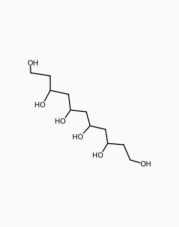 OCCC(O)CC(O)CC(O)CC(O)CCO